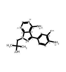 CC(C)(O)Cn1nc(-c2ccc(N)c(F)c2)c2c(N)ncnc21